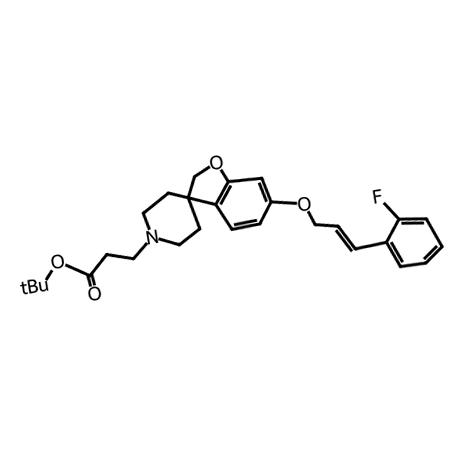 CC(C)(C)OC(=O)CCN1CCC2(CC1)COc1cc(OC/C=C/c3ccccc3F)ccc12